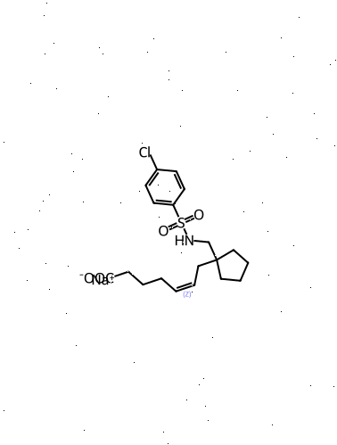 O=C([O-])CCC/C=C\CC1(CNS(=O)(=O)c2ccc(Cl)cc2)CCCC1.[Na+]